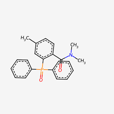 Cc1ccc(C(=O)N(C)C)c(P(=O)(c2ccccc2)c2ccccc2)c1